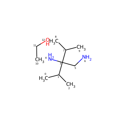 CC(C)C(N)(CN)C(C)C.CCO